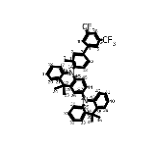 Cc1cc(-c2cc(C(F)(F)F)cc(C(F)(F)F)c2)ccc1N1c2ccccc2C(C)(C)c2cc(N3c4ccccc4C(C)(C)c4ccccc43)ccc21